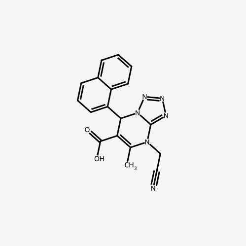 CC1=C(C(=O)O)C(c2cccc3ccccc23)n2nnnc2N1CC#N